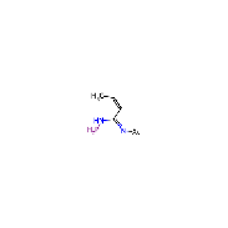 C/C=C\C(=N/C(C)=O)NP